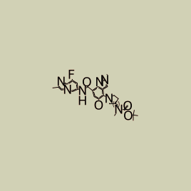 COc1cc(C(=O)Nc2cc(F)c3nc(C)cn3c2)c2nn(C)cc2c1N1CC[C@H](N(C)C(=O)OC(C)(C)C)C1